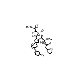 CCC[C@H](NC(=O)[C@@H]1C[C@]2(CC(c3cccc(Cl)c3)=NO2)CN1C(=O)[C@@H](NC(=O)CC1CCCCC1)C(C)(C)C)C(=O)C(=O)NC